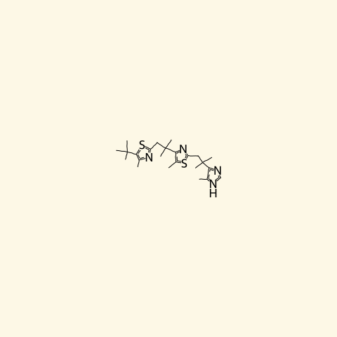 Cc1nc(CC(C)(C)c2nc(CC(C)(C)c3nc[nH]c3C)sc2C)sc1C(C)(C)C